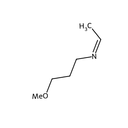 C/C=N\CCCOC